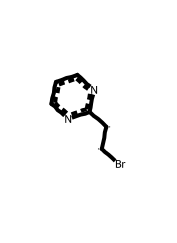 Br[CH][CH]c1ncccn1